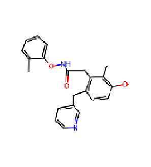 Cc1ccccc1ONC(=O)Cc1c(Cc2cccnc2)ccc([O])c1C